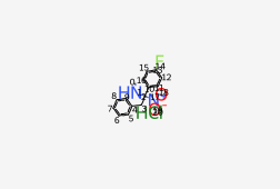 CNC(Cc1ccccc1)(c1ccc(F)cc1)[N+](=O)[O-].Cl